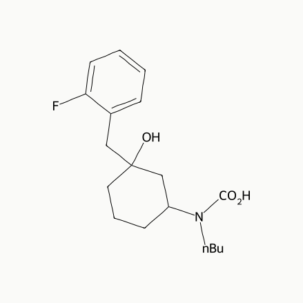 CCCCN(C(=O)O)C1CCCC(O)(Cc2ccccc2F)C1